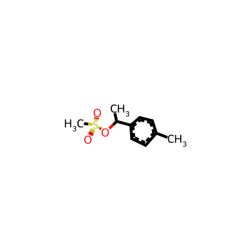 Cc1ccc(C(C)OS(C)(=O)=O)cc1